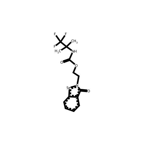 CC(C)(NC(=O)OCCn1[se]c2ccccc2c1=O)C(F)(F)F